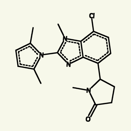 Cc1ccc(C)n1-c1nc2c(C3CCC(=O)N3C)ccc(Cl)c2n1C